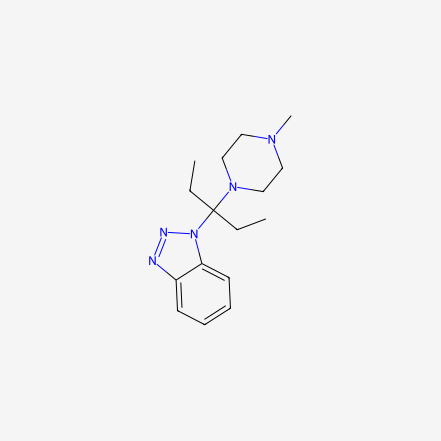 CCC(CC)(N1CCN(C)CC1)n1nnc2ccccc21